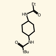 CCC(=O)NC1CCC(NC(=O)C(C)(C)C)CC1